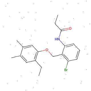 CCC(=O)Nc1cccc(Br)c1COc1cc(C)c(C)cc1CC